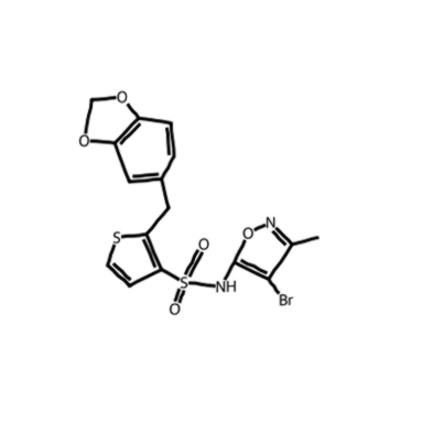 Cc1noc(NS(=O)(=O)c2ccsc2Cc2ccc3c(c2)OCO3)c1Br